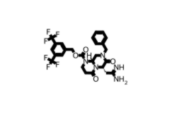 N=C(N)C[C@H]1C(=O)N(Cc2ccccc2)C[C@@H]2N(C(=O)OCc3cc(C(F)(F)F)cc(C(F)(F)F)c3)CCC(=O)N21